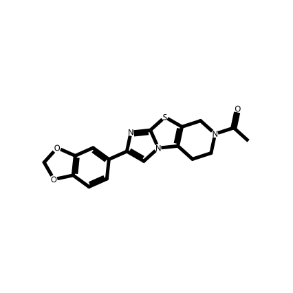 CC(=O)N1CCc2c(sc3nc(-c4ccc5c(c4)OCO5)cn23)C1